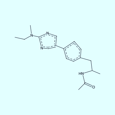 CCN(C)c1ncc(-c2ccc(CC(C)NC(C)=O)cc2)cn1